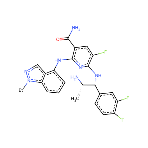 CCn1ncc2c(Nc3nc(N[C@H](c4ccc(F)c(F)c4)[C@H](C)N)c(F)cc3C(N)=O)cccc21